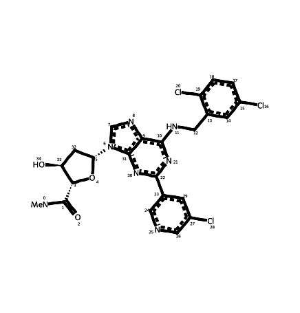 CNC(=O)[C@H]1O[C@@H](n2cnc3c(NCc4cc(Cl)ccc4Cl)nc(-c4cncc(Cl)c4)nc32)C[C@@H]1O